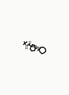 CC1(BC23BC(C(=O)NC(C)(C)C)(CCC2)CC3)CCCCCCC1